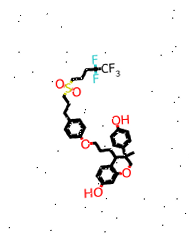 CC1(c2ccc(O)cc2)COc2cc(O)ccc2C1CCCOc1ccc(CCCS(=O)(=O)CCCC(F)(F)C(F)(F)F)cc1